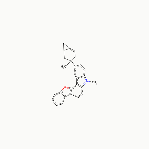 Cn1c2ccc(C3(C)CC=C4CC4C3)cc2c2c3oc4ccccc4c3ccc21